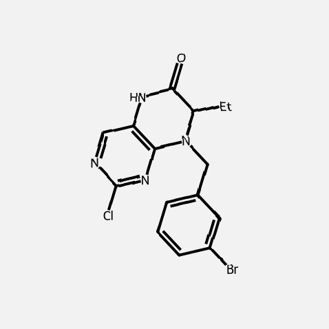 CCC1C(=O)Nc2cnc(Cl)nc2N1Cc1cccc(Br)c1